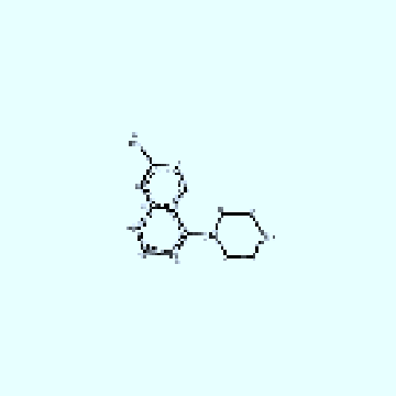 CC(=O)c1ccc2c(N3CCSCC3)ncnc2c1